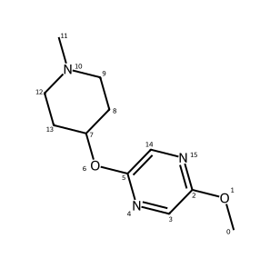 COc1cnc(OC2CCN(C)CC2)cn1